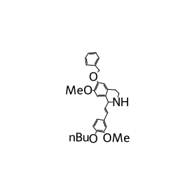 CCCCOc1ccc(C=CC2NCCc3cc(OCc4ccccc4)c(OC)cc32)cc1OC